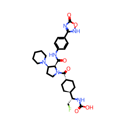 O=C(O)N[C@H](CF)[C@H]1CC[C@H](C(=O)N2CC[C@@H](N3CCCCC3)[C@H]2C(=O)Nc2ccc(-c3nc(=O)o[nH]3)cc2)CC1